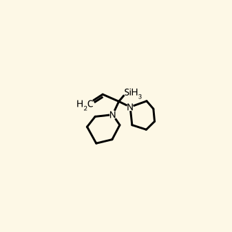 C=CC([SiH3])(N1CCCCC1)N1CCCCC1